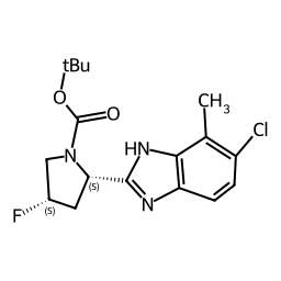 Cc1c(Cl)ccc2nc([C@@H]3C[C@H](F)CN3C(=O)OC(C)(C)C)[nH]c12